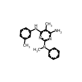 Cc1cccc(Nc2nc(N(C)c3ccccc3)nc(N)c2C)c1